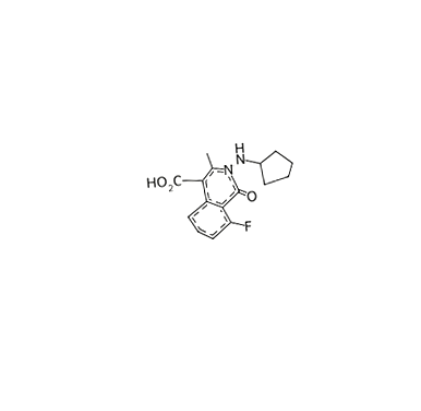 Cc1c(C(=O)O)c2cccc(F)c2c(=O)n1NC1CCCC1